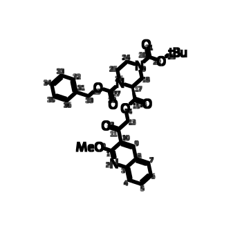 COc1nc2ccccc2cc1C(=O)COC(=O)[C@@H]1CN(C(=O)OC(C)(C)C)CCN1C(=O)OCc1ccccc1